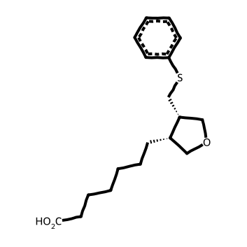 O=C(O)CCCCCC[C@H]1COC[C@H]1CSc1ccccc1